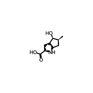 C[C@H]1Cc2[nH]c(C(=O)O)cc2[C@H]1O